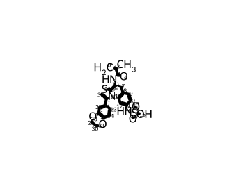 C=C(C)C(=O)N[C@@H](Cc1ccc(NS(=O)(=O)O)cc1)c1nc(-c2ccc3c(c2)OCCO3)cs1